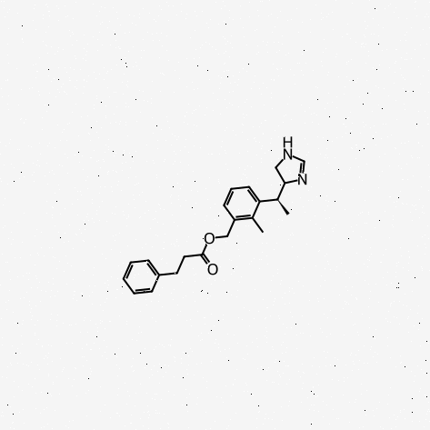 Cc1c(COC(=O)CCc2ccccc2)cccc1[C@H](C)C1CNC=N1